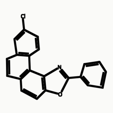 Clc1ccc2c(ccc3ccc4oc(-c5ccccc5)nc4c32)c1